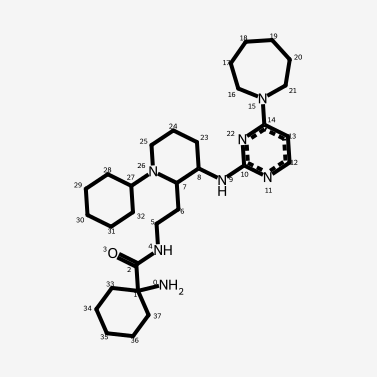 NC1(C(=O)NCCC2C(Nc3nccc(N4CCCCCC4)n3)CCCN2C2CCCCC2)CCCCC1